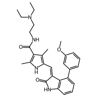 CCN(CC)CCNC(=O)c1c(C)[nH]c(C=C2C(=O)Nc3cccc(-c4cccc(OC)c4)c32)c1C